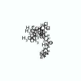 CC(C)(C)OC(=O)CN(C(=O)OC(C)(C)C)S(=O)(=O)N(Cc1cccc(Cl)c1Cl)c1ccc(C(=O)NCc2ccc(C(F)(F)F)nc2)cc1